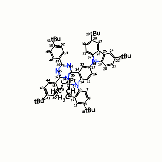 C=CC(C)(C(C)C)N(c1ccc(C(C)(C)C)cc1C)c1ccc(-n2c3ccc(C(C)(C)C)cc3c3cc(C(C)(C)C)ccc32)cc1-c1nc(-c2ccc(C(C)(C)C)cc2)nc(-c2ccc(C(C)(C)C)cc2)n1